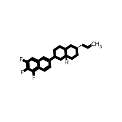 CCC[C@@H]1CC[C@@H]2CC(c3ccc4c(F)c(F)c(F)cc4c3)CCC2C1